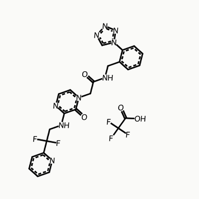 O=C(Cn1ccnc(NCC(F)(F)c2ccccn2)c1=O)NCc1ccccc1-n1cnnn1.O=C(O)C(F)(F)F